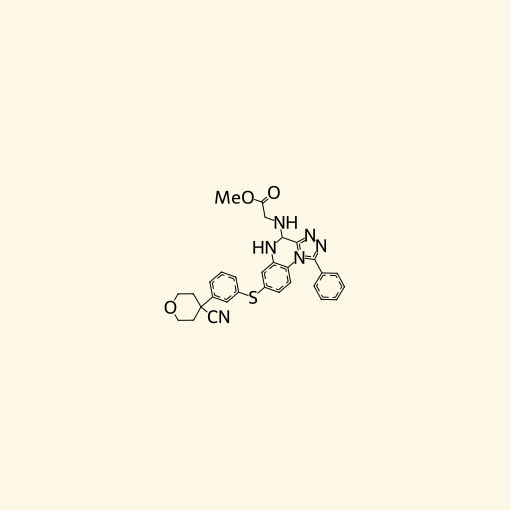 COC(=O)CNC1Nc2cc(Sc3cccc(C4(C#N)CCOCC4)c3)ccc2-n2c(-c3ccccc3)nnc21